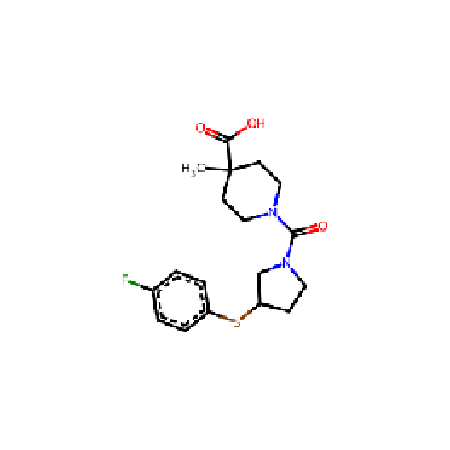 CC1(C(=O)O)CCN(C(=O)N2CCC(Sc3ccc(F)cc3)C2)CC1